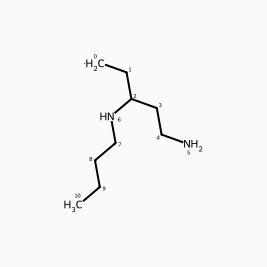 [CH2]CC(CCN)NCCCC